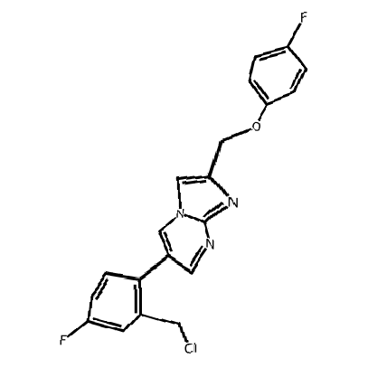 Fc1ccc(OCc2cn3cc(-c4ccc(F)cc4CCl)cnc3n2)cc1